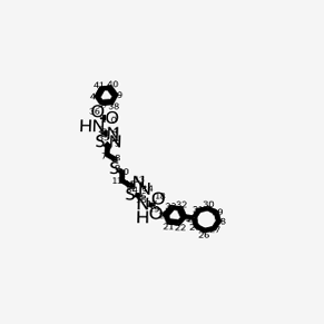 O=C(Nc1nnc(CCSCCc2nnc(NC(=O)Oc3ccc(C4CCCCCCC4)cc3)s2)s1)Oc1ccccc1